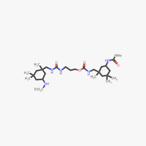 CCOC(=O)NC1CC(C)(C)CC(C)(CNC(=O)NCCCOC(=O)NCC2(C)CC(NC(=O)NC)CC(C)(C)C2)C1